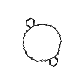 c1ccc2c(c1)OCCCCOCCCCOc1ccccc1OCCCCOCCCCO2